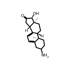 C[C@]12CC[C@H]3C(=CC=C4CC(N)CC[C@@]43C)[C@@H]1CC(=O)[C@H]2O